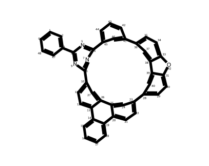 c1ccc(-c2nc3nc(n2)c2ccc4c5ccccc5c5ccc(cc5c4c2)c2ccc4oc5ccc(cc5c4c2)c2cccc3c2)cc1